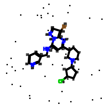 ClC1CCC(N2CCCC(c3cc(NCc4cccnc4)n4ncc(Br)c4n3)C2)C1